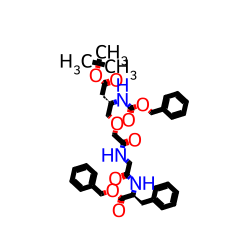 CC(C)(C)OC(=O)C[C@@H](COCC(=O)NCC(=O)N[C@@H](Cc1ccccc1)C(=O)OCc1ccccc1)NC(=O)OCc1ccccc1